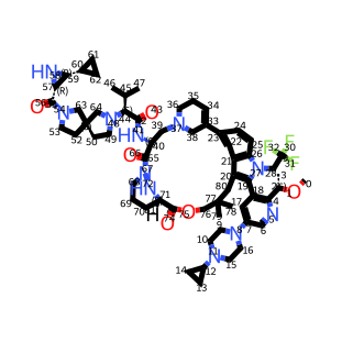 CO[C@@H](C)c1ncc(N2CCN(C3CC3)CC2)cc1-c1c2c3cc(ccc3n1CC(F)(F)F)C1=CCCN(C1)C[C@H](NC(=O)[C@H](C(C)C)N1CC[C@]3(CCN(C(=O)[C@@H]4N[C@@H]4C4CC4)C3)C1)C(=O)N1CCC[C@H](N1)C(=O)OCC(C)(C)C2